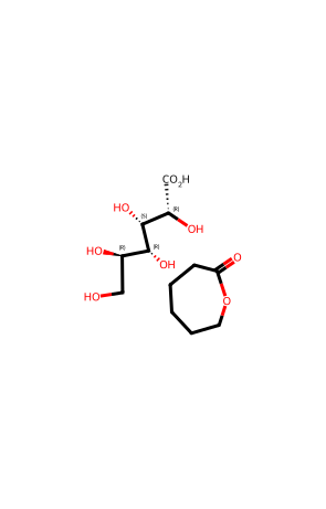 O=C(O)[C@H](O)[C@@H](O)[C@H](O)[C@H](O)CO.O=C1CCCCCO1